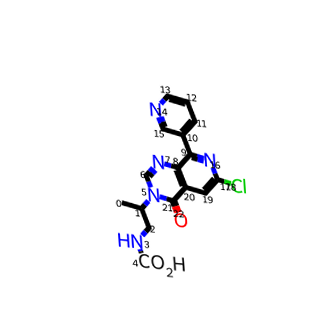 CC(CNC(=O)O)n1cnc2c(-c3cccnc3)nc(Cl)cc2c1=O